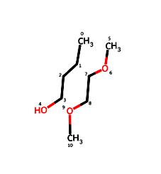 CCCCO.COCCOC